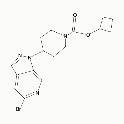 O=C(OC1CCC1)N1CCC(n2ncc3cc(Br)ncc32)CC1